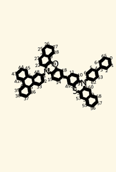 c1ccc(-c2ccc(N3c4ccc(-c5ccc6c(c5)Oc5c(ccc7ccccc57)N6c5ccc6c7ccccc7c7ccccc7c6c5)cc4Sc4cc5ccccc5cc43)cc2)cc1